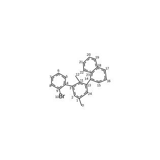 Cc1cc(-c2ccccc2Br)c(C)c(-c2cccc3ccccc23)c1